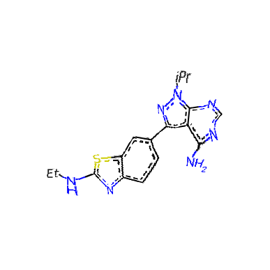 CCNc1nc2ccc(-c3nn(C(C)C)c4ncnc(N)c34)cc2s1